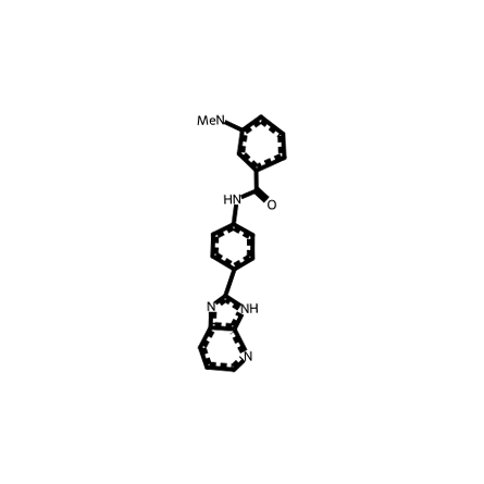 CNc1cccc(C(=O)Nc2ccc(-c3nc4cccnc4[nH]3)cc2)c1